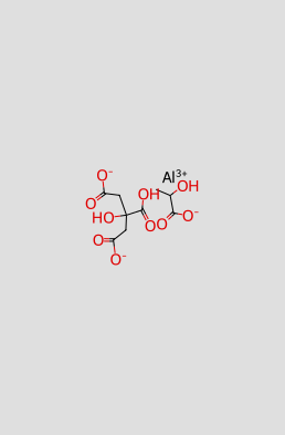 CC(O)C(=O)[O-].O=C([O-])CC(O)(CC(=O)[O-])C(=O)O.[Al+3]